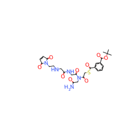 CC(C)(C)OC(=O)c1cccc(C(=O)SCC(=O)N(CC(N)=O)C(=O)CNC(=O)CNCCN2C(=O)C=CC2=O)c1